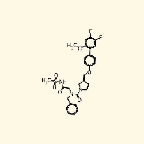 COc1cc(F)c(F)cc1-c1ccc(OCC2CCN(C(=O)N(CC(=O)NS(C)(=O)=O)Cc3ccccc3)C2)cc1